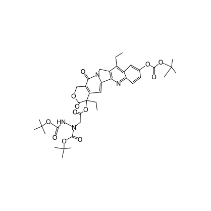 CCc1c2c(nc3ccc(OC(=O)OC(C)(C)C)cc13)-c1cc3c(c(=O)n1C2)COC(=O)C3(CC)OC(=O)CN(NC(=O)OC(C)(C)C)C(=O)OC(C)(C)C